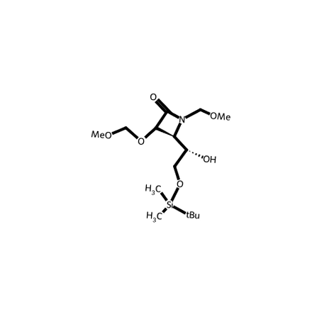 COCOC1C(=O)N(COC)[C@H]1[C@H](O)CO[Si](C)(C)C(C)(C)C